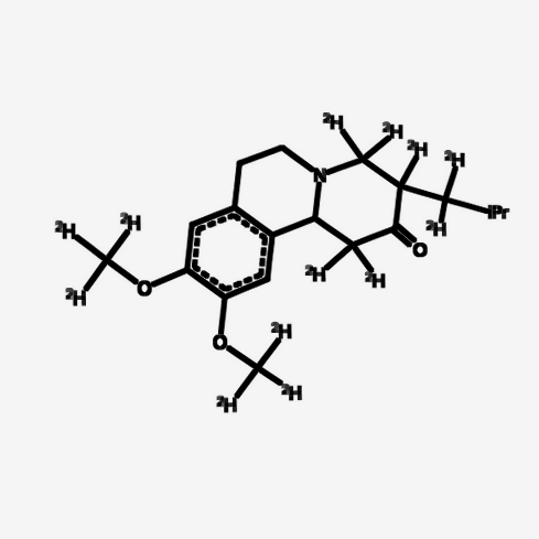 [2H]C([2H])([2H])Oc1cc2c(cc1OC([2H])([2H])[2H])C1N(CC2)C([2H])([2H])C([2H])(C([2H])([2H])C(C)C)C(=O)C1([2H])[2H]